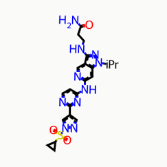 CC(C)n1nc(NCCC(N)=O)c2cnc(Nc3ccnc(-c4cnn(S(=O)(=O)C5CC5)c4)n3)cc21